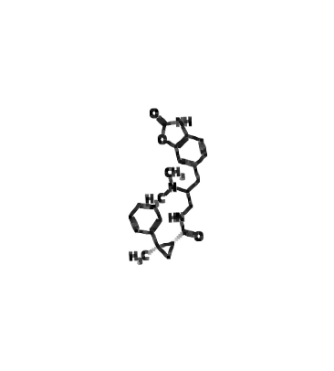 CN(C)C(CNC(=O)[C@@H]1C[C@@]1(C)c1ccccc1)Cc1ccc2[nH]c(=O)oc2c1